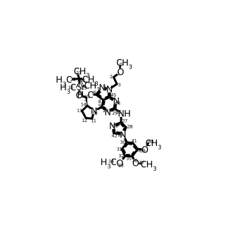 COCCn1nc(C)c2c(N3CCC[C@H]3CO[Si](C)(C)C(C)(C)C)nc(Nc3cn(-c4cc(OC)c(OC)c(OC)c4)cn3)nc21